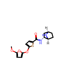 COc1ccc(Oc2ccc(C(=O)N[C@@H]3C[C@H]4CC[C@@H]3N4)s2)o1